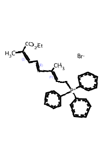 CCOC(=O)\C(C)=C/C=C/C(C)=C/C[P+](c1ccccc1)(c1ccccc1)c1ccccc1.[Br-]